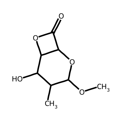 COC1OC2C(=O)OC2C(O)C1C